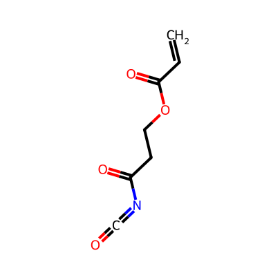 C=CC(=O)OCCC(=O)N=C=O